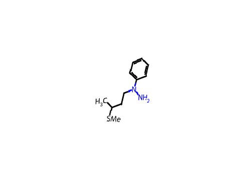 CSC(C)CCN(N)c1ccccc1